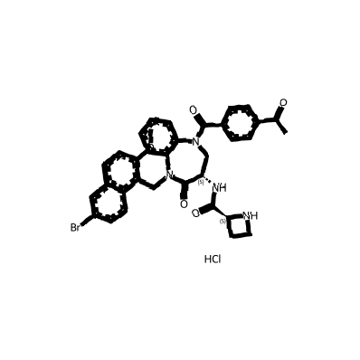 COc1ccc2cc(Br)ccc2c1CN1C(=O)[C@@H](NC(=O)[C@@H]2CCN2)CN(C(=O)c2ccc(C(C)=O)cc2)c2ccccc21.Cl